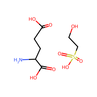 NC(CCC(=O)O)C(=O)O.O=S(=O)(O)CCO